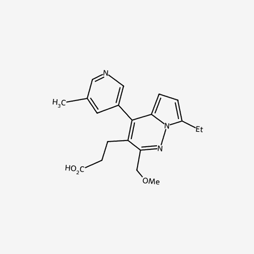 CCc1ccc2c(-c3cncc(C)c3)c(CCC(=O)O)c(COC)nn12